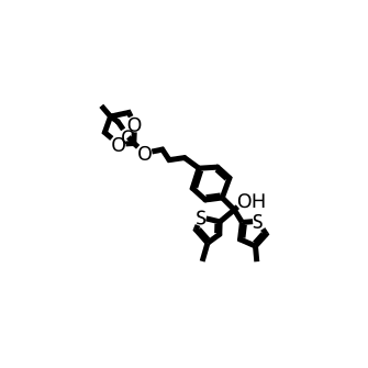 Cc1csc(C(O)(c2ccc(CCCOC34OCC(C)(CO3)CO4)cc2)c2cc(C)cs2)c1